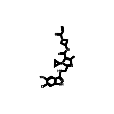 C=CC(=O)N1CC(NC(=O)c2c(C)nc(CNc3n[nH]c4cc(Cl)c(C(C)(C)C)cc34)n2C2CC2)C1